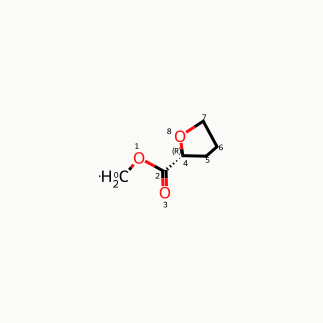 [CH2]OC(=O)[C@H]1CCCO1